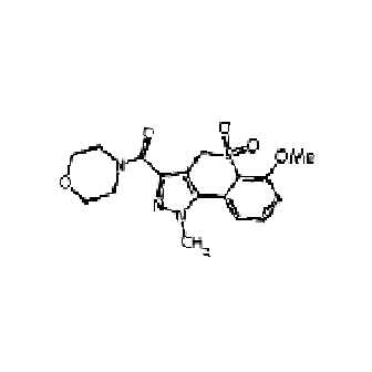 COc1cccc2c1S(=O)(=O)Cc1c(C(=O)N3CCOCC3)nn(C)c1-2